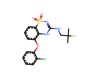 CC(C)(F)CNC1=NS(=O)(=O)c2cccc(Oc3ccccc3Cl)c2N1